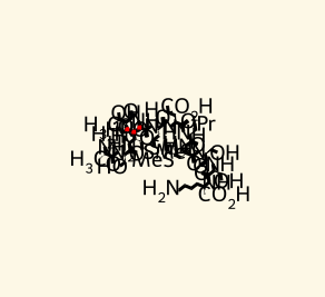 CSCC[C@H](NC(=O)[C@H](CC(C)C)NC(=O)[C@H](CCC(=O)O)NC(=O)[C@H](CCSC)NC(=O)[C@H](CC(N)=O)NC(=O)[C@@H](NC(=O)[C@H](CCSC)NC(=O)[C@H](CO)NC(=O)[C@H](C)N)[C@@H](C)O)C(=O)N[C@@H](CO)C(=O)N[C@@H](CO)C(=O)N[C@@H](CCCCN)C(=O)O